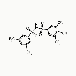 N#Cc1c(C(F)(F)F)cc(S(=O)(=O)NS(=O)(=O)c2cc(C(F)(F)F)cc(C(F)(F)F)c2)cc1C(F)(F)F